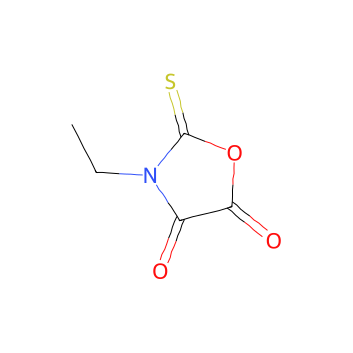 CCN1C(=O)C(=O)OC1=S